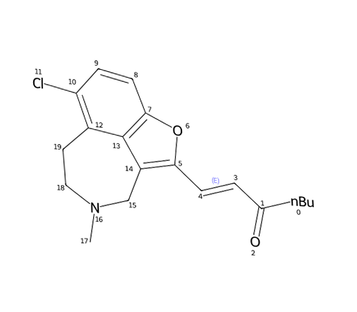 CCCCC(=O)/C=C/c1oc2ccc(Cl)c3c2c1CN(C)CC3